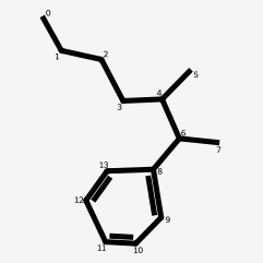 CCCCC(C)C(C)c1ccccc1